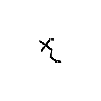 CCCC[N+](C)(C)CCOC(C)=O